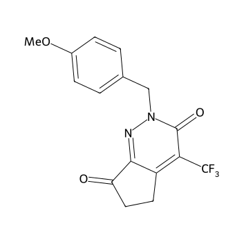 COc1ccc(Cn2nc3c(c(C(F)(F)F)c2=O)CCC3=O)cc1